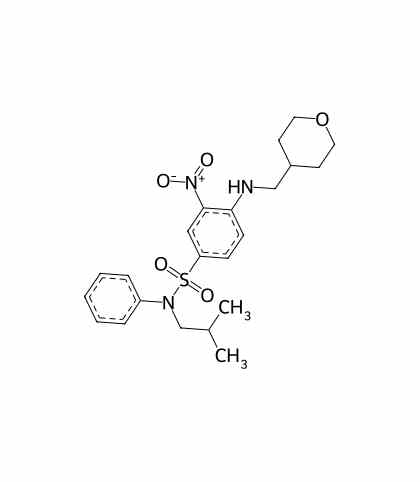 CC(C)CN(c1ccccc1)S(=O)(=O)c1ccc(NCC2CCOCC2)c([N+](=O)[O-])c1